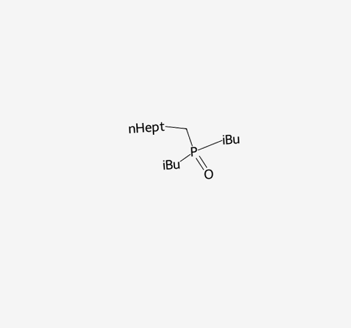 CCCCCCCCP(=O)(C(C)CC)C(C)CC